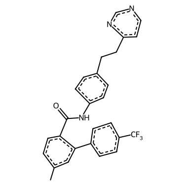 Cc1ccc(C(=O)Nc2ccc(CCc3ccncn3)cc2)c(-c2ccc(C(F)(F)F)cc2)c1